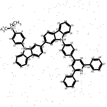 C[SiH](C)c1ccc(-n2c3ccccc3c3ccc(-c4ccc5c6ccccc6n(-c6ccc(-c7cc(-c8ccccc8)nc(-c8ccccc8)c7)cc6)c5c4)cc32)cc1